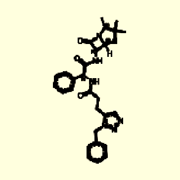 C[C@@H]1N2C(=O)[C@@H](NC(=O)[C@H](NC(=O)CCc3cnnn3Cc3ccccc3)c3ccccc3)[C@H]2SC1(C)C